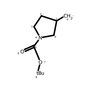 [CH2]C1CCN(C(=O)OC(C)(C)C)C1